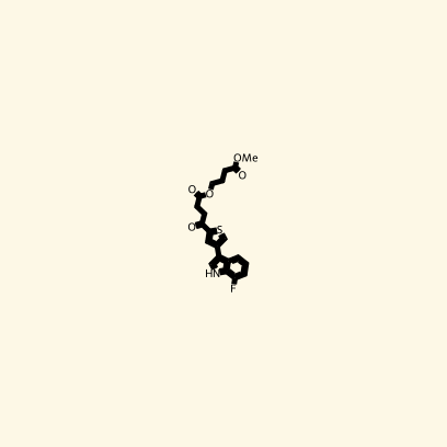 COC(=O)CCCOC(=O)CCC(=O)c1cc(-c2c[nH]c3c(F)cccc23)cs1